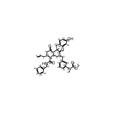 C=CCN1CC(=O)N2C(CN(Cc3cccc(N(C)C(=O)OC)c3)C(=O)[C@@H]2Cc2ccc(O)cc2)N1C(=O)NCc1ccccc1